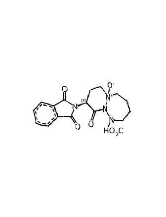 O=C1c2ccccc2C(=O)N1[C@H]1CC[N+]2([O-])CCCCN(C(=O)O)N2C1=O